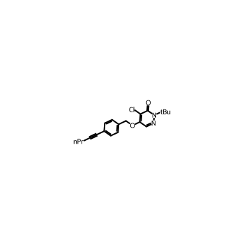 CCCC#Cc1ccc(COc2cnn(C(C)(C)C)c(=O)c2Cl)cc1